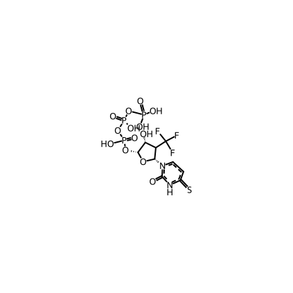 O=c1[nH]c(=S)ccn1[C@@H]1O[C@H](OP(=O)(O)OP(=O)(O)OP(=O)(O)O)[C@H](O)C1C(F)(F)F